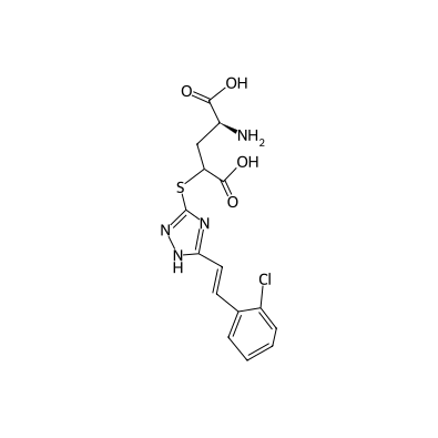 N[C@@H](CC(Sc1n[nH]c(C=Cc2ccccc2Cl)n1)C(=O)O)C(=O)O